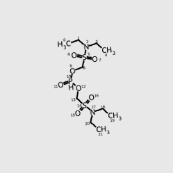 CCN(CC)S(=O)(=O)CO[PH](=O)OCS(=O)(=O)N(CC)CC